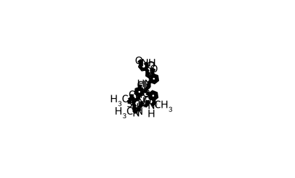 Cc1sc2c(c1C)C(c1ccc(Cl)cc1)=N[C@@H](CC(=O)N[C@H](C)c1cccc(OCCNc3cccc4c3CN(C3CCC(=O)NC3=O)C4=O)c1)c1nnc(C)n1-2